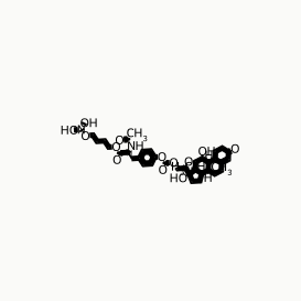 CC(=O)N[C@@H](Cc1ccc(OC(=O)OCC(=O)[C@@]2(O)CC[C@H]3[C@@H]4CCC5=CC(=O)CC[C@]5(C)[C@H]4[C@@H](O)C[C@@]32C)cc1)C(=O)OCCCCON(O)O